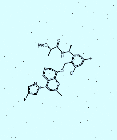 CO[C@H](C)C(=O)N[C@@H](C)c1cc(F)cc(Cl)c1COc1cccc2c(-n3cc(F)cn3)cc(C)nc12